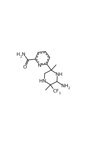 CC1(c2cccc(C(N)=O)n2)CNC(C)(C(F)(F)F)C(N)N1